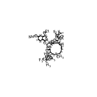 CCOc1cnc(O[C@@H]2C[C@H]3C(=O)N[C@]4(C(=O)NS(=O)(=O)C5(CF)CC5)C[C@H]4C=CCC[C@@H](C)C[C@@H](C)[C@H](NC(=O)OC(C)(C)C(F)(F)F)C(=O)N3C2)c2ccc(OC)cc12